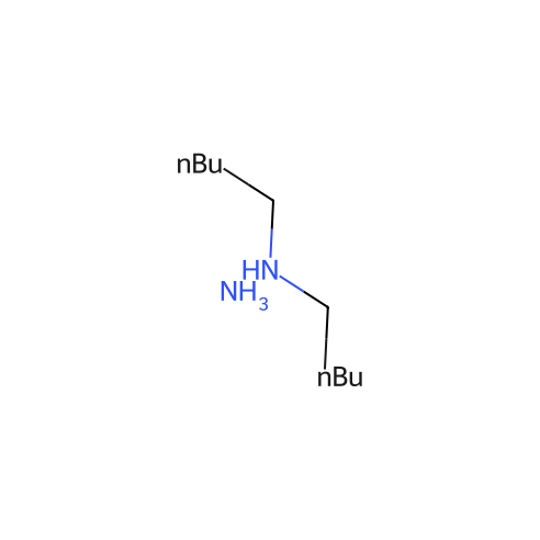 CCCCCNCCCCC.N